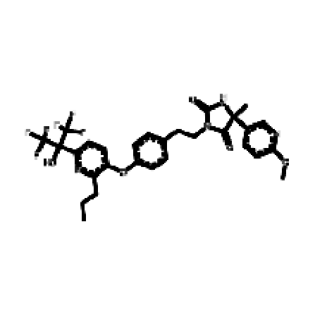 CCCc1nc(C(O)(C(F)(F)F)C(F)(F)F)ccc1Oc1ccc(CCN2C(=O)NC(C)(c3ccc(OC)nc3)C2=O)cc1